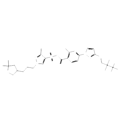 Cc1nn(CCCC2CNC(C)(C)C2)cc1S(=O)(=O)NC(=O)c1ccc(-n2ccc(OCC(C)(C)C(F)(F)F)n2)nc1Cl